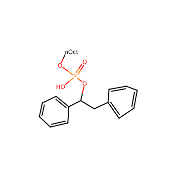 CCCCCCCCOP(=O)(O)OC(Cc1ccccc1)c1ccccc1